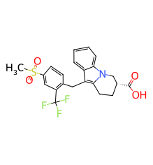 CS(=O)(=O)c1ccc(Cc2c3n(c4ccccc24)C[C@H](C(=O)O)CC3)c(C(F)(F)F)c1